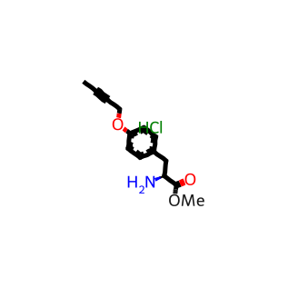 CC#CCOc1ccc(C[C@H](N)C(=O)OC)cc1.Cl